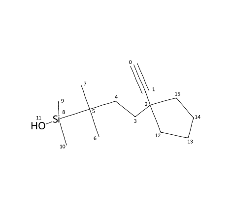 C#CC1(CCC(C)(C)[Si](C)(C)O)CCCC1